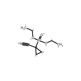 CCOP(=O)(OCC)C1(C#N)CC1